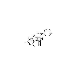 Cc1cc(C)c2c(n1)sc1c(NC3CCCCCC3)n[nH]c12